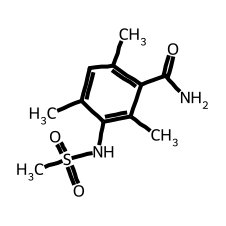 Cc1cc(C)c(C(N)=O)c(C)c1NS(C)(=O)=O